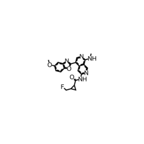 CNc1ncc(-c2nc3cc(OC)ccc3o2)c2cc(NC(=O)C3CC3CF)ncc12